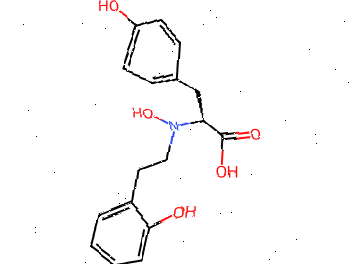 O=C(O)[C@H](Cc1ccc(O)cc1)N(O)CCc1ccccc1O